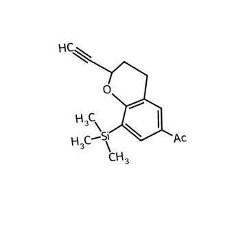 C#CC1CCc2cc(C(C)=O)cc([Si](C)(C)C)c2O1